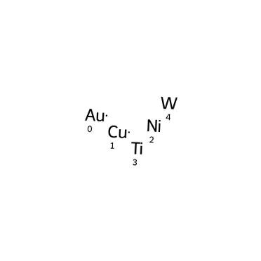 [Au].[Cu].[Ni].[Ti].[W]